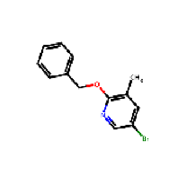 Cc1cc(Br)cnc1OCc1ccccc1